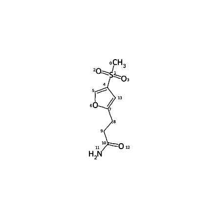 CS(=O)(=O)c1coc([CH]CC(N)=O)c1